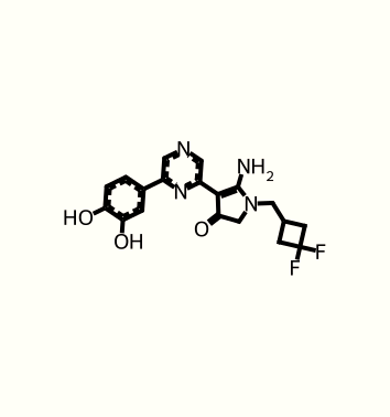 NC1=C(c2cncc(-c3ccc(O)c(O)c3)n2)C(=O)CN1CC1CC(F)(F)C1